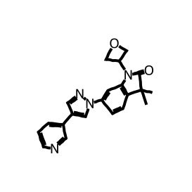 CC1(C)C(=O)N(C2COC2)c2cc(-n3cc(-c4cccnc4)cn3)ccc21